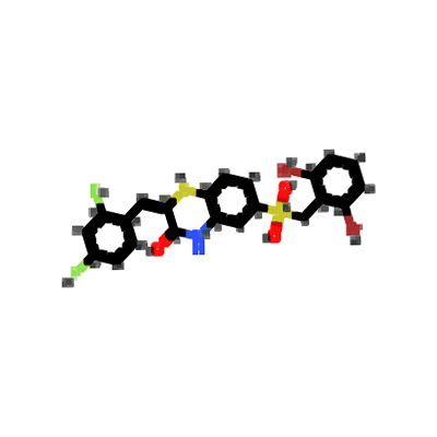 O=C1Nc2cc(S(=O)(=O)Cc3c(Br)cccc3Br)ccc2S/C1=C/c1ccc(F)cc1F